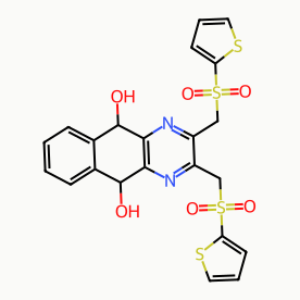 O=S(=O)(Cc1nc2c(nc1CS(=O)(=O)c1cccs1)C(O)c1ccccc1C2O)c1cccs1